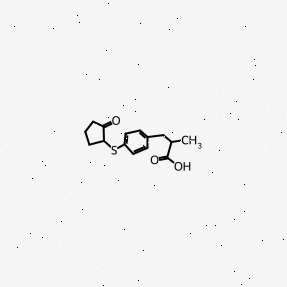 CC(Cc1ccc(SC2CCCC2=O)cc1)C(=O)O